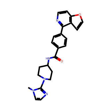 Cn1ccnc1N1CCC(NC(=O)c2ccc(-c3nccc4occc34)cc2)CC1